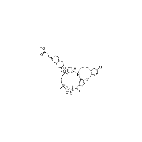 COC(=O)CCN1CCN2CCN(C[C@@]3(O)CCC[C@H](C)[C@@H](C)S(=O)(=O)NC(=O)c4ccc5c(c4)N(CCCCc4cc(Cl)ccc4CO5)C[C@@H]4CC[C@H]43)CC2C1